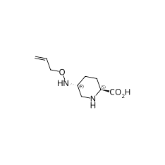 C=CCON[C@@H]1CC[C@@H](C(=O)O)NC1